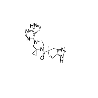 C[C@@]1(C(=O)N2CCN(c3ncnc4[nH]ccc34)CC23CC3)C=Cc2[nH]cnc2C1